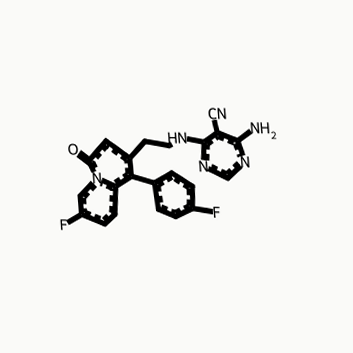 N#Cc1c(N)ncnc1NCCc1cc(=O)n2cc(F)ccc2c1-c1ccc(F)cc1